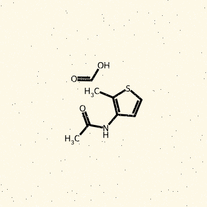 CC(=O)Nc1ccsc1C.O=CO